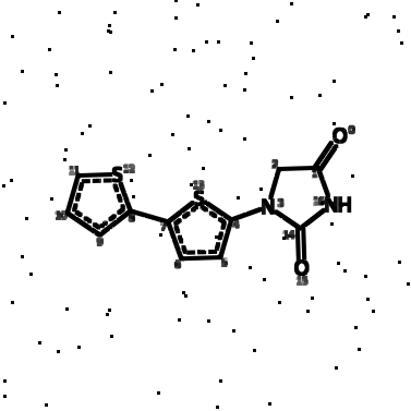 O=C1CN(c2ccc(-c3cccs3)s2)C(=O)N1